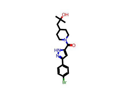 CC(C)(O)CC1CCN(C(=O)c2cc(-c3ccc(Br)cc3)n[nH]2)CC1